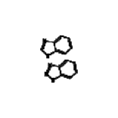 c1ccc2scnc2c1.c1ccc2snnc2c1